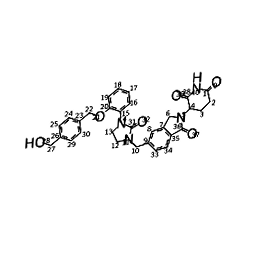 O=C1CCC(N2Cc3cc(CN4CCN(c5ccccc5OCc5ccc(CO)cc5)C4=O)ccc3C2=O)C(=O)N1